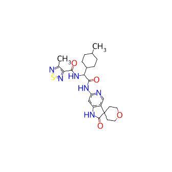 Cc1nsnc1C(=O)NC(C(=O)Nc1cc2c(cn1)C1(CCOCC1)C(=O)N2)C1CCC(C)CC1